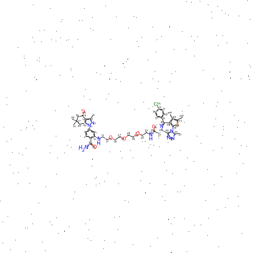 Cc1nn(-c2ccc(C(N)=O)c(NCCOCCOCCOCCNC(=O)C[C@@H]3N=C(c4ccc(Cl)cc4)c4c(sc(C)c4C)-n4c(C)nnc43)c2)c2c1C(=O)CC(C)(C)C2